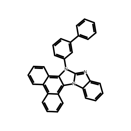 c1ccc(-c2cccc(-n3c4c5ccccc5c5ccccc5c4n4c5ccccc5nc34)c2)cc1